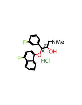 CNC[C@@H](O)[C@@H](Oc1ccc(F)c2ccccc12)c1cccc(F)c1.Cl